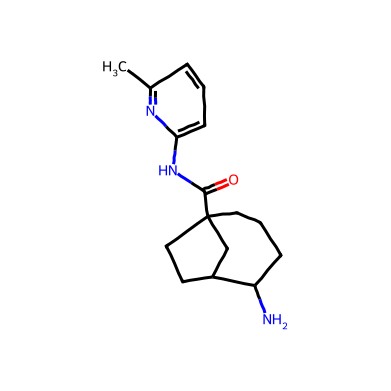 Cc1cccc(NC(=O)C23CCCC(N)C(CC2)C3)n1